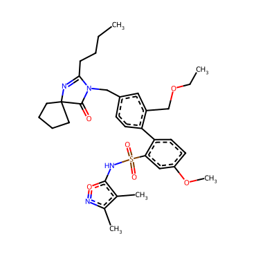 CCCCC1=NC2(CCCC2)C(=O)N1Cc1ccc(-c2ccc(OC)cc2S(=O)(=O)Nc2onc(C)c2C)c(COCC)c1